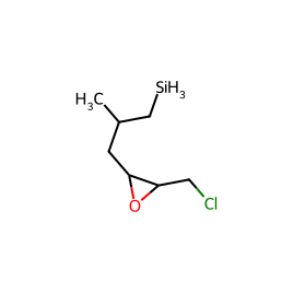 CC(C[SiH3])CC1OC1CCl